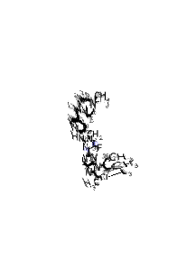 C=N/C=C(F)\C(=N/CNc1ccc(CN2CCN(C)CC2)cn1)c1ncc2nc(C(C)C)n(C(CC)CC)c2n1